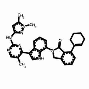 Cc1cnc(Nc2cc(C)n(C)n2)nc1-c1c[nH]c2c(N3Cc4cccc(C5=CCCCC5)c4C3=O)cccc12